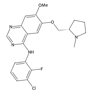 COc1cc2ncnc(Nc3cccc(Cl)c3F)c2cc1OC[C@@H]1CCCN1C